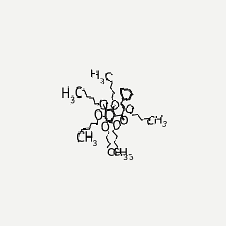 CCCCCOC(=Cc1ccccc1)C(=O)c1c(OCCCCC)c(OCCCCC)c(OCCCCC)c(OCCCCC)c1OCCCCC